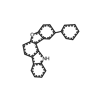 c1ccc(-c2ccc3oc4ccc5c6ccccc6[nH]c5c4c3c2)cc1